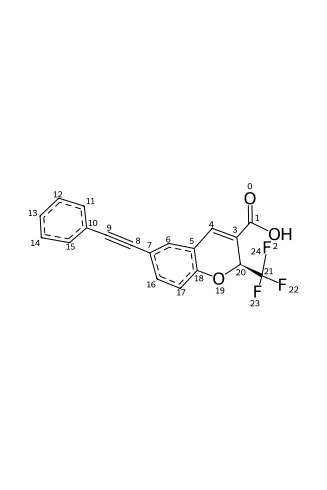 O=C(O)C1=Cc2cc(C#Cc3ccccc3)ccc2O[C@@H]1C(F)(F)F